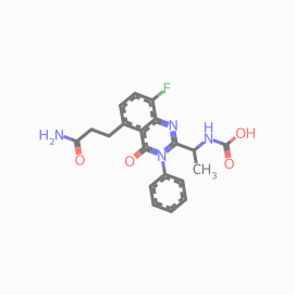 CC(NC(=O)O)c1nc2c(F)ccc(CCC(N)=O)c2c(=O)n1-c1ccccc1